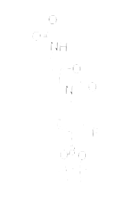 COC(=O)NC[C@H]1CN(c2ccc(B3OC(C)(C)C(C)(C)O3)c(F)c2)C(=O)O1